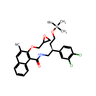 CC(C)(C)[Si](C)(C)OCC[C@H](CNC(=O)c1c(OCC2CO2)c(C#N)cc2ccccc12)c1ccc(Cl)c(Cl)c1